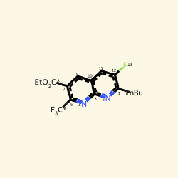 CCCCc1nc2nc(C(F)(F)F)c(C(=O)OCC)cc2cc1F